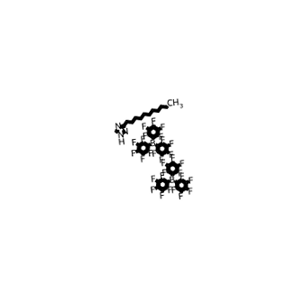 CCCCCCCCCCCc1nc[nH]n1.Fc1c(F)c(F)c(B(c2c(F)c(F)c(F)c(F)c2F)c2c(F)c(F)c(F)c(F)c2F)c(F)c1F.Fc1c(F)c(F)c(B(c2c(F)c(F)c(F)c(F)c2F)c2c(F)c(F)c(F)c(F)c2F)c(F)c1F